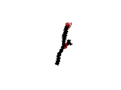 CCCCCCCCCCCCCCC(CCCCCCCCCCCCCCCCCC(=O)O)C(=O)OCC(CC)CCCC